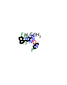 C=[N+](C)c1nc(OC[C@@]23CCCN2C[C@H](F)C3)nc2c(F)c(-c3cccc4ccc(F)c(Cl)c34)ncc12